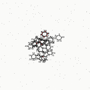 c1ccc(-c2nc(-c3ccccc3)nc(-c3cccc(-c4c(-n5c6ccccc6c6ccccc65)c(-n5c6ccccc6c6ccccc65)nc(-n5c6ccccc6c6ccccc65)c4-n4c5ccccc5c5ccccc54)c3-c3nc(-c4ccccc4)nc(-c4ccccc4)n3)n2)cc1